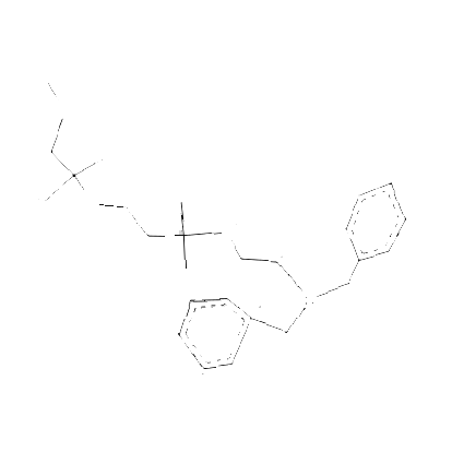 COCC(C)(C)OCCC(C)(C)OCCN(Cc1ccccc1)Cc1ccccc1